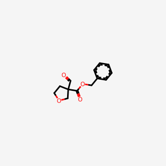 O=CC1(C(=O)OCc2ccccc2)CCOC1